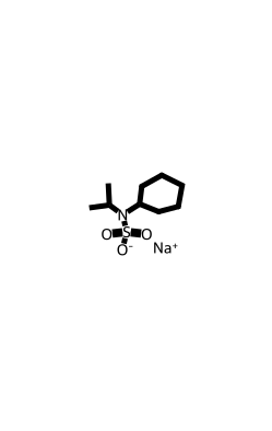 CC(C)N(C1CCCCC1)S(=O)(=O)[O-].[Na+]